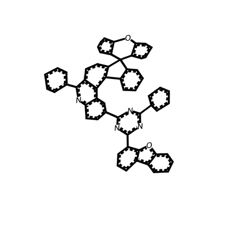 c1ccc(-c2nc(-c3ccc4nc(-c5ccccc5)c5ccc6c(c5c4c3)-c3ccccc3C63c4ccccc4Oc4ccccc43)nc(-c3cccc4c3oc3ccccc34)n2)cc1